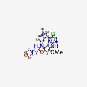 COc1cc(OCCCN2CCOCC2)c(N)cc1Nc1ncc(Cl)c(-c2cn(C)c3ccccc23)n1